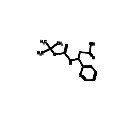 CC(C)(C)OC(=O)NC(CC(=O)O)c1ccccn1